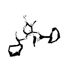 CC#C[C@]1(OC(=O)c2ccccc2)[C@@H](OC(=O)c2ccccc2)O[C@H](CC)[C@H]1C